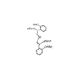 CCCCCC(C[Se]CC(CCCCC)c1ccccc1OC)c1ccccc1OC